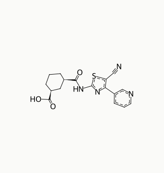 N#Cc1sc(NC(=O)[C@@H]2CCC[C@H](C(=O)O)C2)nc1-c1cccnc1